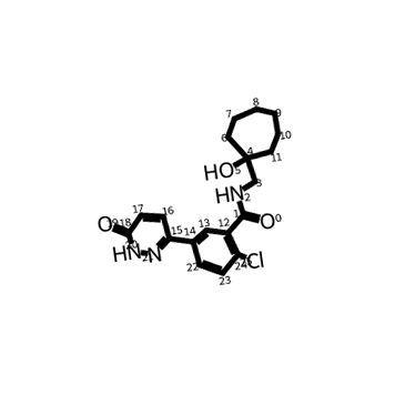 O=C(NCC1(O)CCCCCC1)c1cc(-c2ccc(=O)[nH]n2)ccc1Cl